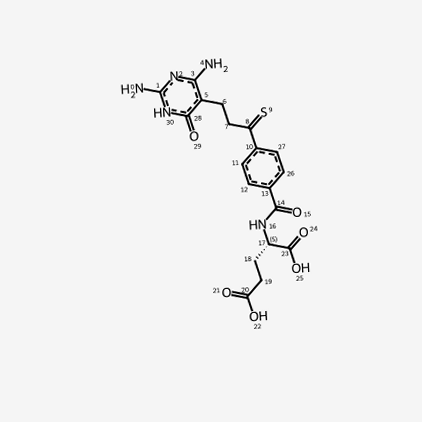 Nc1nc(N)c(CCC(=S)c2ccc(C(=O)N[C@@H](CCC(=O)O)C(=O)O)cc2)c(=O)[nH]1